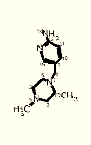 C[C@@H]1CN(C)CCN1Cc1ccc(N)nc1